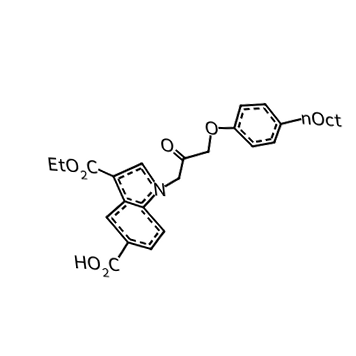 CCCCCCCCc1ccc(OCC(=O)Cn2cc(C(=O)OCC)c3cc(C(=O)O)ccc32)cc1